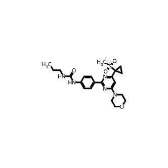 CCCNC(=O)Nc1ccc(-c2nc(N3CCOCC3)cc(C3(S(C)(=O)=O)CC3)n2)cc1